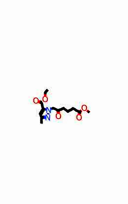 CCOC(=O)c1cc(C)nn1CC(=O)CCCC(=O)OC